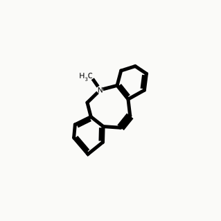 CN1Cc2ccccc2C#CC2=C1CCC=C2